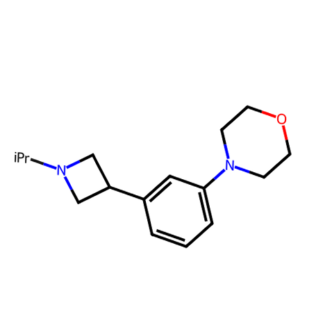 CC(C)N1CC(c2cccc(N3CCOCC3)c2)C1